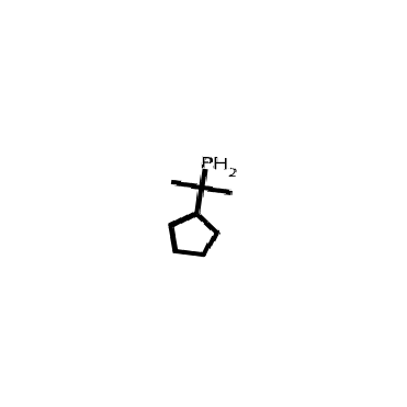 CC(C)(P)C1CCCC1